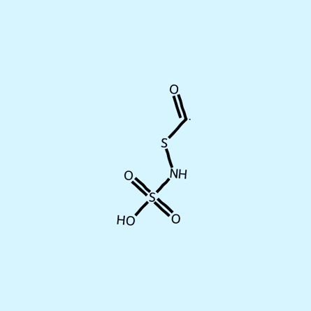 O=[C]SNS(=O)(=O)O